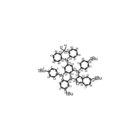 CC(C)(C)c1ccc(N2c3ccc(C(C)(C)C)cc3B3c4oc5ccc(C(C)(C)C)cc5c4N(c4ccc(C(C)(C)C)cc4)c4cc(N5c6ccccc6C(C)(C)c6ccccc65)cc2c43)cc1